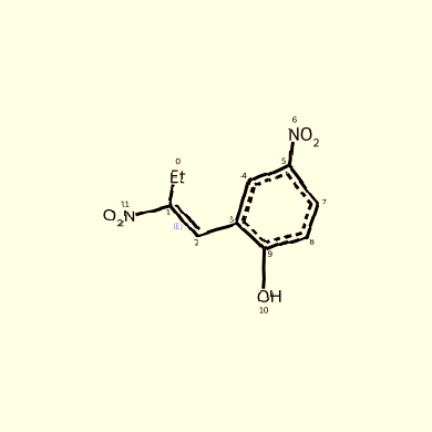 CC/C(=C\c1cc([N+](=O)[O-])ccc1O)[N+](=O)[O-]